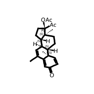 CC(=O)O[C@]1(C(C)=O)CC[C@H]2[C@@H]3C=C(C)C4=CC(=O)C=C[C@]4(C)[C@H]3CC[C@@]21C